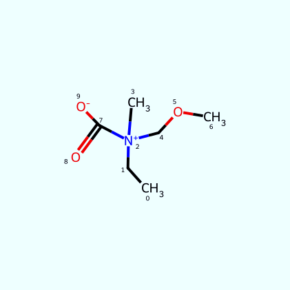 CC[N+](C)(COC)C(=O)[O-]